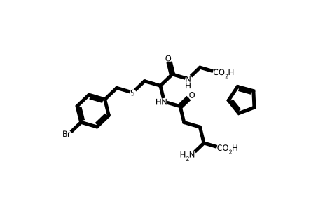 C1=CCC=C1.NC(CCC(=O)NC(CSCc1ccc(Br)cc1)C(=O)NCC(=O)O)C(=O)O